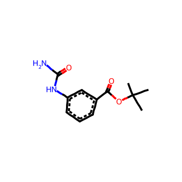 CC(C)(C)OC(=O)c1cccc(NC(N)=O)c1